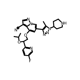 Cc1c(-c2cc(OCC(OC(C)C)c3ccc(F)cn3)c3c(C#N)cnn3c2)nnn1C1CCNCC1